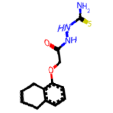 NC(=S)NNC(=O)COc1cccc2c1CCCC2